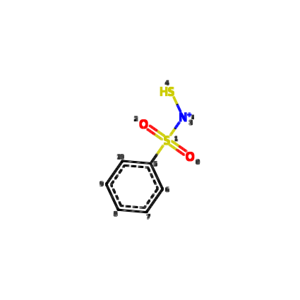 O=S(=O)([N+]S)c1ccccc1